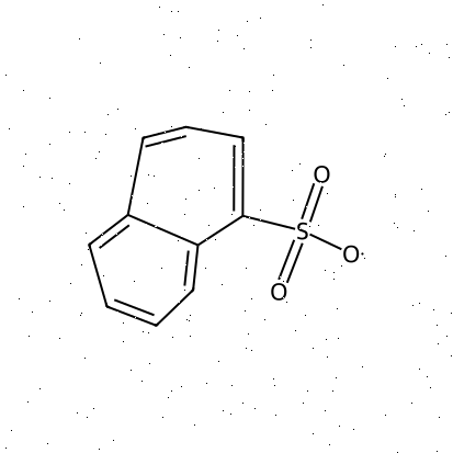 [O]S(=O)(=O)c1cccc2ccccc12